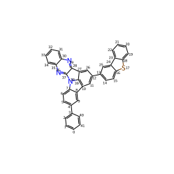 c1ccc(-c2ccc3c(c2)c2cc(-c4ccc5sc6ccccc6c5c4)cc4c5nc6ccccc6nc5n3c24)cc1